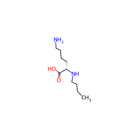 CCCCN[C@@H](CCCCN)C(=O)O